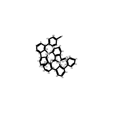 Cc1ccc(-c2cccc3c4ccccc4n(-c4cccc5c4C(=O)N(c4c(-c6ccccc6)cccc4-c4ccccc4)C5=O)c23)cc1